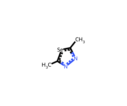 Cc1nnc(C)[se]1